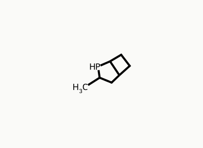 CC1CC2CCC2P1